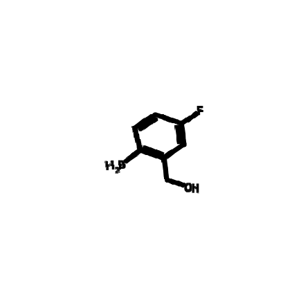 Bc1ccc(F)cc1CO